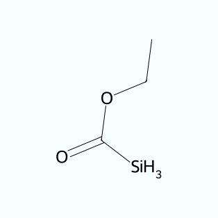 CCOC(=O)[SiH3]